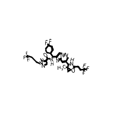 CC1([C@H](NC(=O)CCC(F)(F)F)c2cnn3cc([C@@H](NC(=O)c4cnn(CCC(F)(F)F)n4)C4CCC(F)(F)CC4)nc3c2)CC1